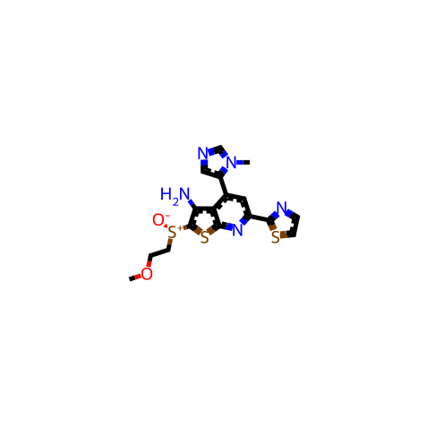 COCC[S@@+]([O-])c1sc2nc(-c3nccs3)cc(-c3cncn3C)c2c1N